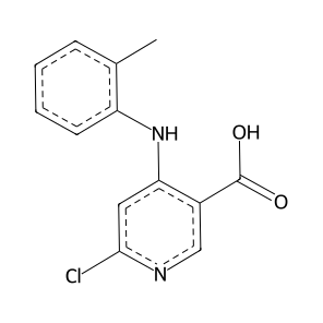 Cc1ccccc1Nc1cc(Cl)ncc1C(=O)O